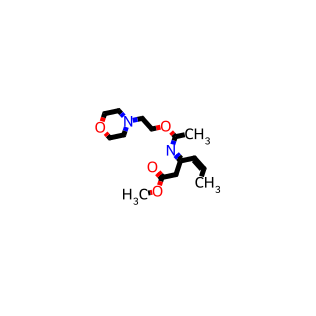 C/C=C\C(CC(=O)OC)=N/C(C)OCCN1CCOCC1